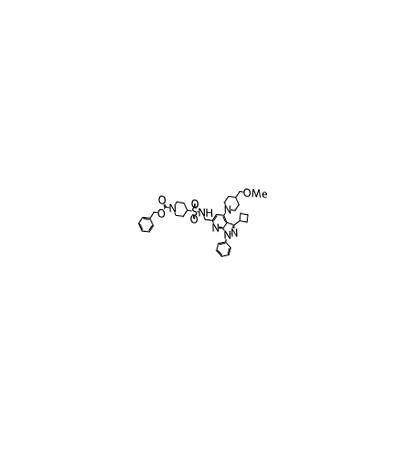 COCC1CCN(c2cc(CNS(=O)(=O)C3CCN(C(=O)OCc4ccccc4)CC3)nc3c2c(C2CCC2)nn3-c2ccccc2)CC1